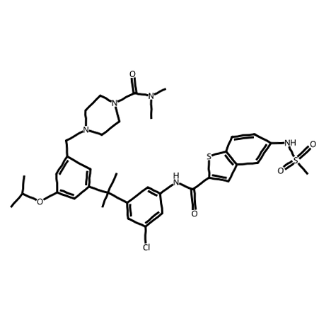 CC(C)Oc1cc(CN2CCN(C(=O)N(C)C)CC2)cc(C(C)(C)c2cc(Cl)cc(NC(=O)c3cc4cc(NS(C)(=O)=O)ccc4s3)c2)c1